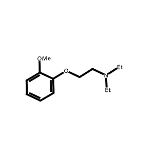 CCN(CC)CCOc1cc[c]cc1OC